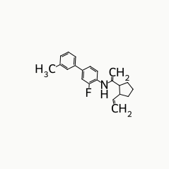 C=CC1CCCC1C(=C)Nc1ccc(-c2cccc(C)c2)cc1F